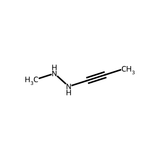 CC#CNNC